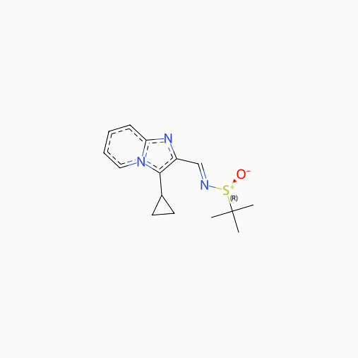 CC(C)(C)[S@+]([O-])N=Cc1nc2ccccn2c1C1CC1